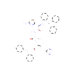 Nc1nc(/C(=N/OC(c2ccccc2)(c2ccccc2)c2ccccc2)C(=O)N[C@@H]2C(=O)N3C(C(=O)OC(c4ccccc4)c4ccccc4)=C(Sc4cnns4)CS[C@@H]23)cs1